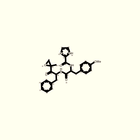 COc1ccc(CC(NC(=O)c2ncc[nH]2)C(=O)NC(Cc2ccccc2)C(=O)C2(C)CO2)cc1